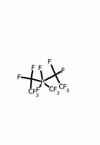 FC(F)(F)C(F)(F)P(F)(F)(C(F)(F)F)C(F)(F)C(F)(F)F